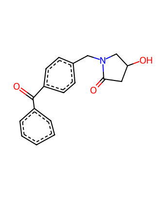 O=C(c1ccccc1)c1ccc(CN2CC(O)CC2=O)cc1